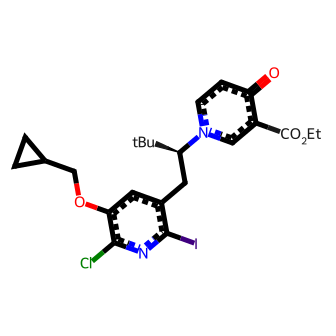 CCOC(=O)c1cn([C@@H](Cc2cc(OCC3CC3)c(Cl)nc2I)C(C)(C)C)ccc1=O